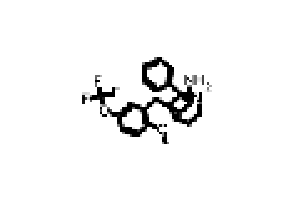 COc1ccc(OC(F)(F)F)cc1CC1C2CCN(CC2)C1(N)c1ccccc1